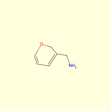 NCC1=CC=COC1